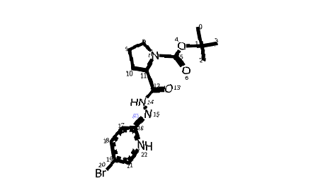 CC(C)(C)OC(=O)N1CCCC1C(=O)N/N=c1\ccc(Br)c[nH]1